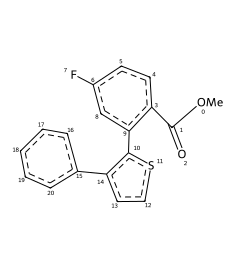 COC(=O)c1ccc(F)cc1-c1sccc1-c1ccccc1